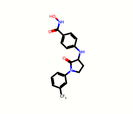 O=C(NO)c1ccc(NC2CCN(c3cccc(C(F)(F)F)c3)C2=O)cc1